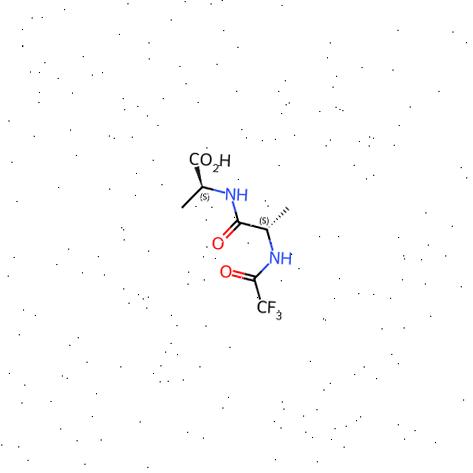 C[C@H](NC(=O)[C@H](C)NC(=O)C(F)(F)F)C(=O)O